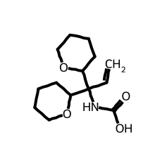 C=CC(NC(=O)O)(C1CCCCO1)C1CCCCO1